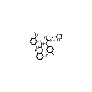 COc1ccccc1CN(C(=O)Cc1c(F)cccc1F)[C@@H](C(=O)NCC1CCCO1)c1ccc(C)cc1